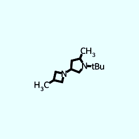 CC1CN(C2CC(C)N(C(C)(C)C)C2)C1